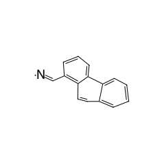 [N]=Cc1cccc2c1ccc1ccccc12